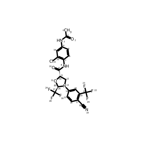 CC(=O)Nc1ccc(NC(=O)[C@@H]2CN(c3ccc(C#N)c(C(F)(F)F)c3)[C@@H](C(F)(F)F)O2)c(Cl)c1